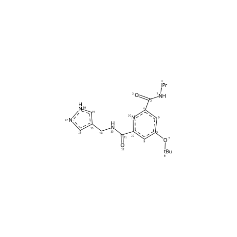 CC(C)NC(=O)c1cc(OC(C)(C)C)cc(C(=O)NCc2cn[nH]c2)n1